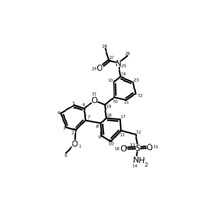 COc1cccc2c1-c1ccc(CS(N)(=O)=O)cc1C(c1cccc(N(C)C(C)=O)c1)O2